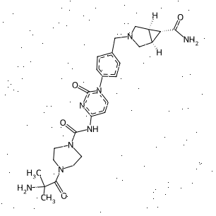 CC(C)(N)C(=O)N1CCN(C(=O)Nc2ccn(-c3ccc(CN4C[C@@H]5[C@H](C4)[C@H]5C(N)=O)cc3)c(=O)n2)CC1